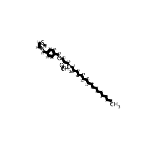 CCCCCCCCCCCCCCCCCCOCC(COCc1ccc(C[n+]2ccsc2)cc1)OC